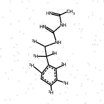 [2H]c1cc([2H])c(C([2H])([2H])C([2H])NC(=N)NC(C)=N)c([2H])c1[2H]